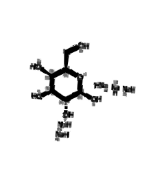 OC[C@H]1O[C@@H](O)[C@H](O)[C@@H](O)[C@H]1O.[NaH].[NaH].[NaH].[NaH].[NaH]